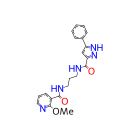 COc1ncccc1C(=O)NCCCNC(=O)c1cc(-c2ccccc2)[nH]n1